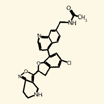 CC(=O)NCc1ccc2c(-c3cc(Cl)cc4c3OC(c3onc5c3CNCC5)C4)ccnc2c1